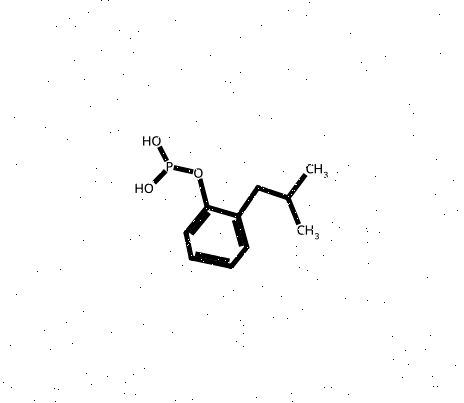 CC(C)Cc1ccccc1OP(O)O